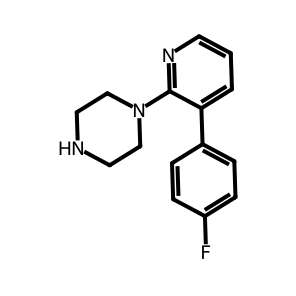 Fc1ccc(-c2cccnc2N2CCNCC2)cc1